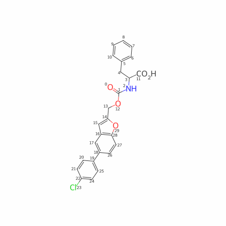 O=C(NC(Cc1ccccc1)C(=O)O)OCc1cc2cc(-c3ccc(Cl)cc3)ccc2o1